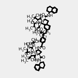 C[C@@H](C(=O)N[C@H](C(=O)N1Cc2cc(CCc3ccc(C(=O)NC4C[C@@H](C(=O)N[C@@H]5CCCc6ccccc65)N(C(=O)[C@@H](NC(=O)[C@H](C)N(C)C(=O)OC(C)(C)C)C(C)(C)C)C4)cc3)ccc2C[C@H]1C(=O)NC1CCCc2ccccc21)C(C)(C)C)N(C)C(=O)OC(C)(C)C